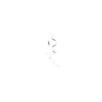 NCCC(NC(=O)c1ccc(N)cc1)C(=O)O